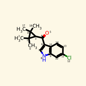 CC1(C)C(C(=O)c2c[nH]c3cc(Cl)ccc23)C1(C)C